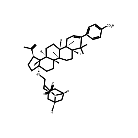 C=C(C)[C@@H]1CC[C@]2(NCCN3C[C@H]4C[C@@H](C3)N4S(C)(=O)=O)CC[C@]3(C)[C@H](CC[C@@H]4[C@@]5(C)CC=C(c6ccc(C(=O)O)cc6)C(C)(C)[C@@H]5CC[C@]43C)[C@@H]12